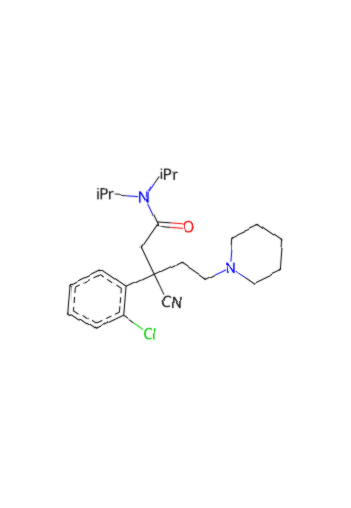 CC(C)N(C(=O)CC(C#N)(CCN1CCCCC1)c1ccccc1Cl)C(C)C